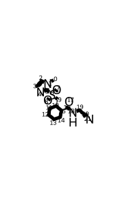 Cn1ccnc1S(=O)(=O)C[C@H]1CCCC[C@@H]1C(=O)NCC#N